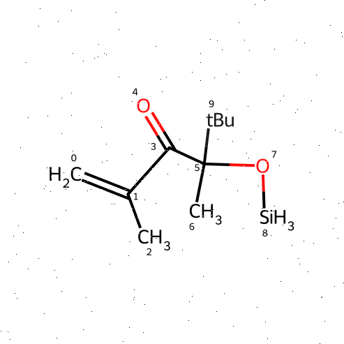 C=C(C)C(=O)C(C)(O[SiH3])C(C)(C)C